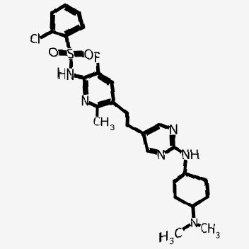 Cc1nc(NS(=O)(=O)c2ccccc2Cl)c(F)cc1CCc1cnc(NC2CCC(N(C)C)CC2)nc1